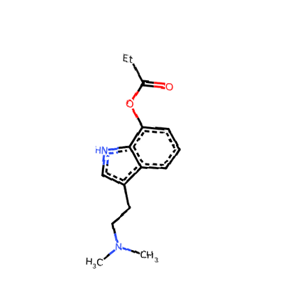 CCC(=O)Oc1cccc2c(CCN(C)C)c[nH]c12